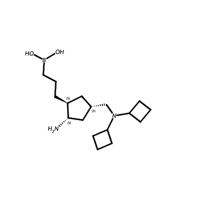 N[C@H]1C[C@@H](CN(C2CCC2)C2CCC2)C[C@@H]1CCCB(O)O